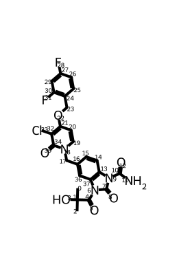 CC(C)(O)C(=O)n1c(=O)n(C(N)=O)c2ccc(Cn3ccc(OCc4ccc(F)cc4F)c(Cl)c3=O)cc21